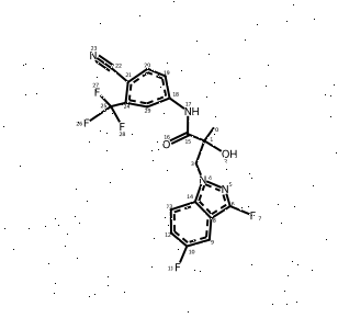 CC(O)(Cn1nc(F)c2cc(F)ccc21)C(=O)Nc1ccc(C#N)c(C(F)(F)F)c1